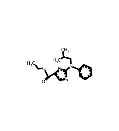 CCOC(=O)c1csc(N(CC(C)C)c2ccccc2)n1